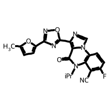 Cc1ccc(-c2noc(-c3ncn4c3c(=O)n(C(C)C)c3c(C#N)c(F)ccc34)n2)o1